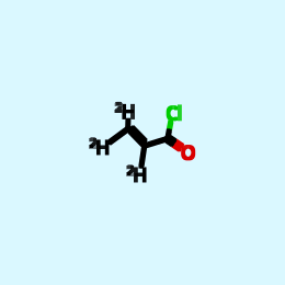 [2H]C([2H])=C([2H])C(=O)Cl